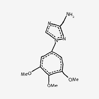 COc1cc(-n2cnc(N)n2)cc(OC)c1OC